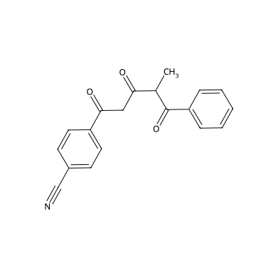 CC(C(=O)CC(=O)c1ccc(C#N)cc1)C(=O)c1ccccc1